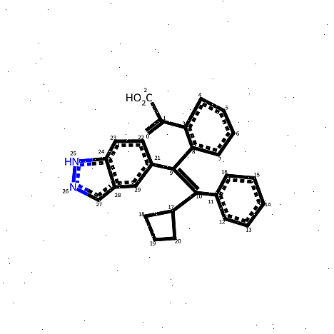 C=C(C(=O)O)c1ccccc1/C(=C(\c1ccccc1)C1CCC1)c1ccc2[nH]ncc2c1